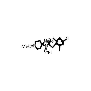 CCON(C(=O)Cc1c(C)cc(Cl)cc1C)C1(NC)CCN(OC)CC1